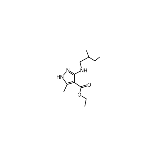 CCOC(=O)c1c(NCC(C)CC)n[nH]c1C